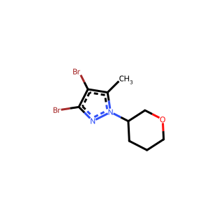 Cc1c(Br)c(Br)nn1C1CCCOC1